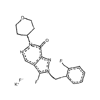 O=c1c2nn(Cc3ccccc3F)c(F)c2cnn1C1CCOCC1.[F-].[K+]